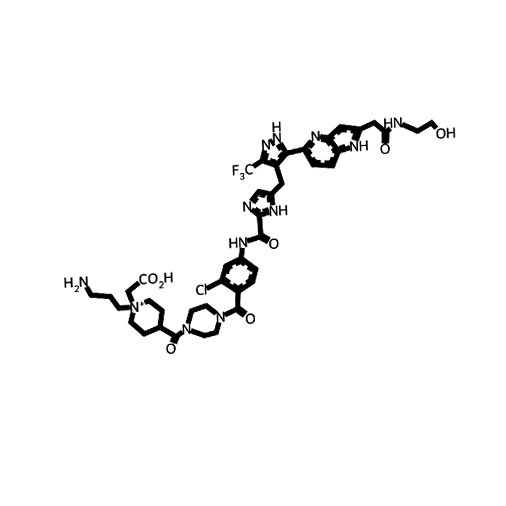 NCCC[N+]1(CC(=O)O)CCC(C(=O)N2CCN(C(=O)c3ccc(NC(=O)c4ncc(Cc5c(C(F)(F)F)n[nH]c5-c5ccc6[nH]c(CC(=O)NCCO)cc6n5)[nH]4)cc3Cl)CC2)CC1